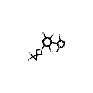 Cn1ncc(Br)c1-c1c(F)c(Cl)cc(N2CC3(C2)CC3(F)F)c1C#N